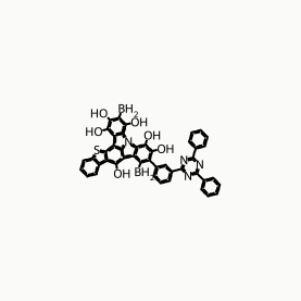 Bc1c(O)c(O)c2c3c4sc5ccccc5c4c(O)c4c5c(B)c(-c6cccc(-c7nc(-c8ccccc8)nc(-c8ccccc8)n7)c6)c(O)c(O)c5n(c2c1O)c43